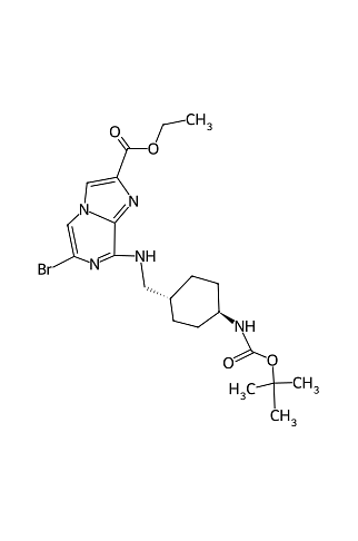 CCOC(=O)c1cn2cc(Br)nc(NC[C@H]3CC[C@H](NC(=O)OC(C)(C)C)CC3)c2n1